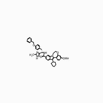 COc1ccc2c(c1)OCCn1c-2c(C2CCCCC2)c2ccc(C(=O)N[C@@H](Cc3ccc(OCc4ccccc4)cc3)c3n[nH]c(C)n3)cc21